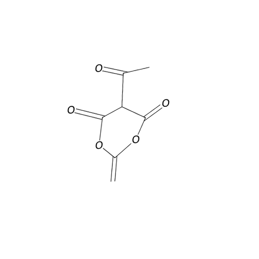 C=C1OC(=O)C(C(C)=O)C(=O)O1